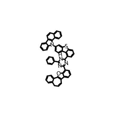 C1=Cc2c(oc3c(C4=NC(c5cccc6sc7cc(-n8c9ccccc9c9ccc%10ccccc%10c98)ccc7c56)NC(c5ccccc5)=N4)cccc23)-c2ccccc2C1